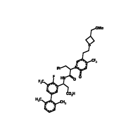 COCC1CN(CCc2cn(C(CC(C)C)C(=O)NC(CC(=O)O)c3cc(-c4c(C)cccc4C)cc(C(F)(F)F)c3F)c(=O)cc2C(F)(F)F)C1